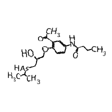 CCCC(=O)Nc1ccc(OCC(O)C[AsH]C(C)C)c(C(C)=O)c1